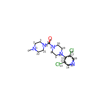 CN1CCN(C(=O)N2CCN(c3c(Cl)cncc3Cl)CC2)CC1